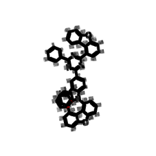 c1ccc(-c2nc(-c3ccc4c(c3)c3ccccc3n4-c3cccc4oc5cccc(-c6ccccc6)c5c34)nc(-c3cccc4oc5ccccc5c34)n2)cc1